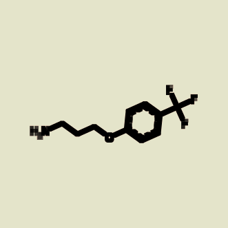 NCCCOc1ccc(C(F)(F)F)cc1